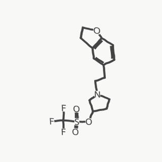 O=S(=O)(OC1CCN(CCc2ccc3c(c2)CCO3)C1)C(F)(F)F